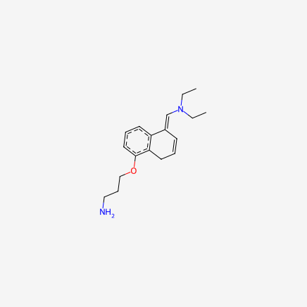 CCN(C=C1C=CCc2c(OCCCN)cccc21)CC